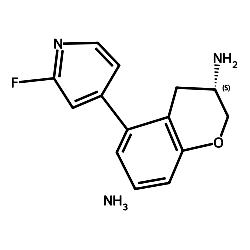 N.N[C@@H]1COc2cccc(-c3ccnc(F)c3)c2C1